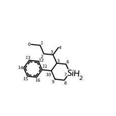 CCCC(C)C1C[SiH2]CCC1c1ccccc1